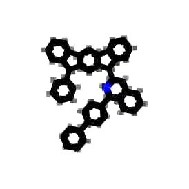 c1ccc(-c2ccc(-c3nc(C4c5ccccc5-c5cc6c(cc54)C(c4ccccc4)c4ccccc4-6)cc4ccccc34)cc2)cc1